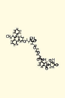 CN(CCOc1ccc(C(=C(CCCl)c2ccccc2)c2ccccc2)cc1)C(=O)CCOCCOCCC(=O)Nc1cccc2c1CN(C1CCC(=O)NC1=O)C2=O